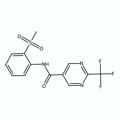 CS(=O)(=O)c1ccccc1NC(=O)c1cnc(C(F)(F)F)nc1